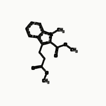 COC(=O)CCc1c(C(=O)OC)n(C)c2ccccc12